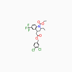 CCOC(=O)N1c2ccc(C(F)(F)F)cc2C(CC(=O)OCc2ccc(Cl)c(Cl)c2)CC1CC